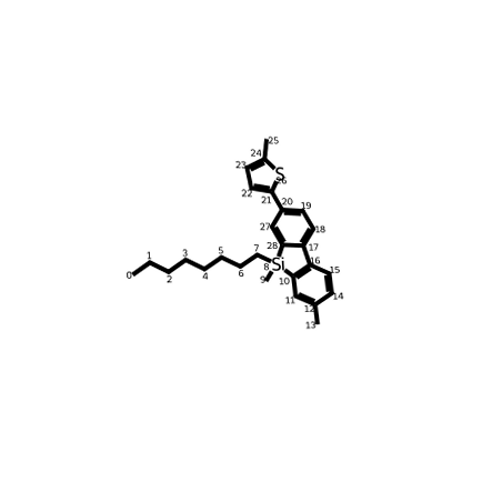 CCCCCCCC[Si]1(C)c2cc(C)ccc2-c2ccc(-c3ccc(C)s3)cc21